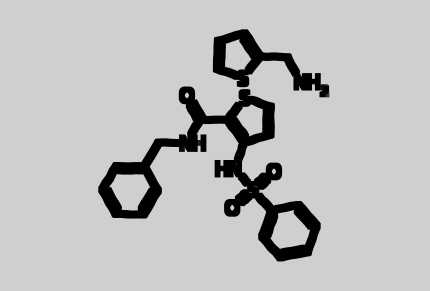 NCc1cccs1.O=C(NCc1ccccc1)c1sccc1NS(=O)(=O)c1ccccc1